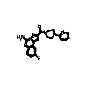 Nc1nc2ccc(F)cc2c2cc(C(=O)N3CCN(c4ccccn4)CC3)nn12